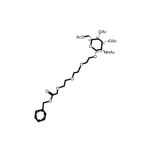 CC(=O)N[C@@H]1[C@H](OCCOCCOCCOCC(=O)OCc2ccccc2)O[C@H](COC(C)=O)[C@H](OC(C)=O)[C@@H]1OC(C)=O